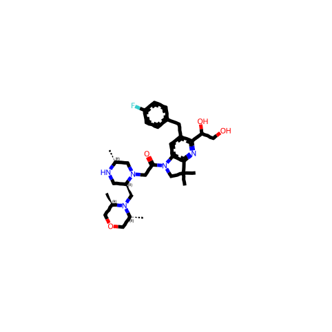 C[C@@H]1CN(CC(=O)N2CC(C)(C)c3nc(C(O)CO)c(Cc4ccc(F)cc4)cc32)[C@@H](CN2[C@H](C)COC[C@H]2C)CN1